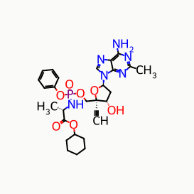 C#C[C@]1(CO[P@@](=O)(N[C@@H](C)C(=O)OC2CCCCC2)Oc2ccccc2)O[C@@H](n2cnc3c(N)nc(C)nc32)C[C@@H]1O